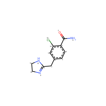 NC(=O)c1ccc(CC2=NCCN2)cc1Cl